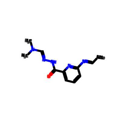 CN/C=N/c1cccc(C(=O)N/N=C/N(C)C)n1